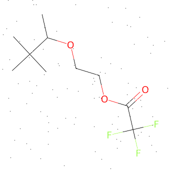 CC(OCCOC(=O)C(F)(F)F)C(C)(C)C